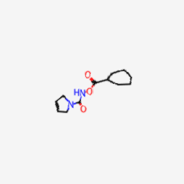 O=C(ONC(=O)N1CC=CC1)C1CCCCC1